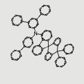 c1ccc(-c2ccc(N(c3cc(-c4ccccc4)cc(-c4ccccc4)c3)c3cccc4c3-c3ccccc3C43c4ccccc4C(c4ccccc4)(c4ccccc4)c4ccccc43)cc2)cc1